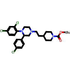 CC(C)(C)OC(=O)N1CCC(CCN2CCN(c3ccc(Cl)cc3Cl)C(c3ccc(Cl)cc3)C2)CC1